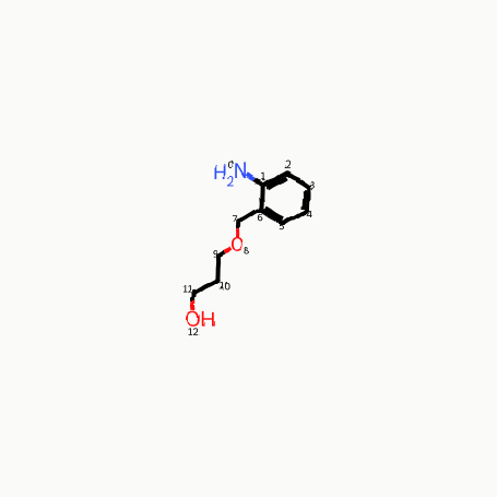 Nc1ccccc1COCCCO